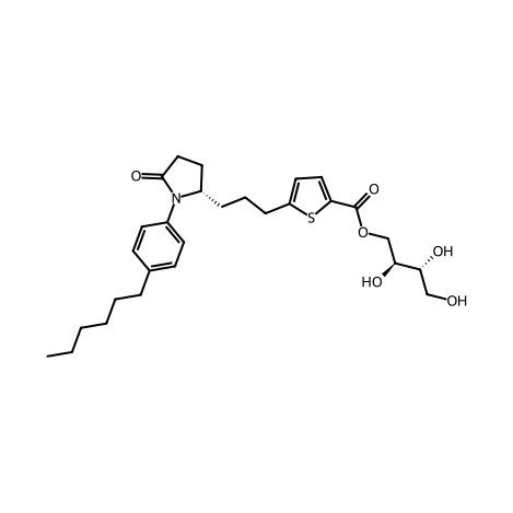 CCCCCCc1ccc(N2C(=O)CC[C@@H]2CCCc2ccc(C(=O)OC[C@H](O)[C@H](O)CO)s2)cc1